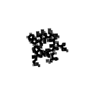 C=CCNC(=O)C(=O)C(CCC)NC(=O)[C@@H]1CC2(CN1C(=O)[C@@H](NC(=O)[C@@H](NC(=O)[C@H](CCC(C)=O)NC(=O)[C@H](CCC(C)=O)NC(C)=O)C(C)C)C(C)C)SCCS2